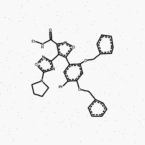 CCNC(=O)c1noc(-c2cc(C(C)C)c(OCc3ccccc3)cc2OCc2ccccc2)c1-c1noc(N2CCCC2)n1